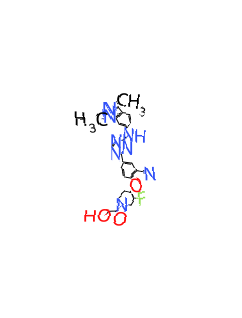 Cc1nn(C)c2cc(Nc3ncnc(-c4ccc(O[C@H]5CCN(C(=O)CO)C[C@@H]5F)c(C#N)c4)n3)ccc12